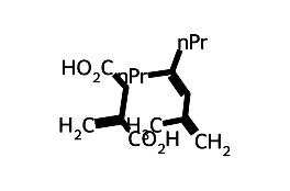 C=C(C)C=C(CCC)CCC.C=C(CC(=O)O)C(=O)O